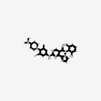 Cc1cc(Nc2ncc3c(=O)n(-c4c(Cl)cccc4Cl)n4ccnc4c3n2)cc(F)c1N1CCC(N(C)C)CC1